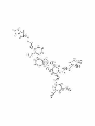 Cc1c(OCCCN2CC3(CCC3)C2)cccc1-c1cccc2c1CC[C@@H]2Oc1cc(OCc2cc(C#N)cc(C#N)c2)c(CNC[C@H]2CCC(=O)N2)cc1Cl